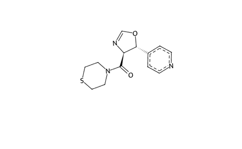 O=C([C@H]1N=CO[C@@H]1c1ccncc1)N1CCSCC1